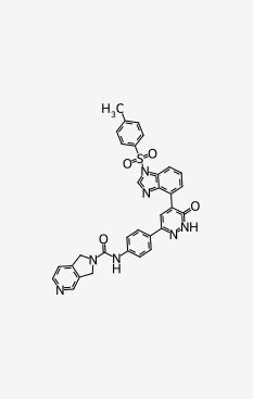 Cc1ccc(S(=O)(=O)n2cnc3c(-c4cc(-c5ccc(NC(=O)N6Cc7ccncc7C6)cc5)n[nH]c4=O)cccc32)cc1